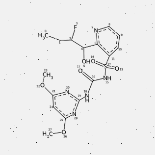 CCC(F)C(O)c1ncccc1S(=O)(=O)NC(=O)Nc1nc(OC)cc(OC)n1